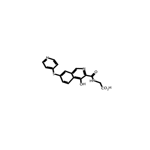 O=C(O)CNC(=O)c1ncc2cc(Sc3ccncc3)ccc2c1O